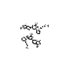 COCCOc1ccccc1-c1cc(-c2ccc3[nH]nc(C)c3c2)nc(=O)[nH]1.Cc1n[nH]c2ccc(-c3cc(-c4ccccc4OCCO)[nH]c(=O)n3)cc12